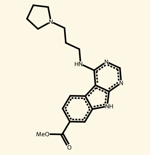 COC(=O)c1ccc2c(c1)[nH]c1ncnc(NCCCN3CCCC3)c12